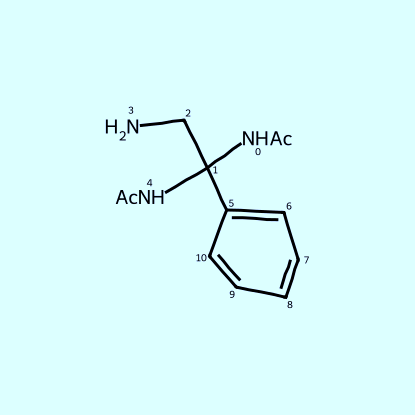 CC(=O)NC(CN)(NC(C)=O)c1ccccc1